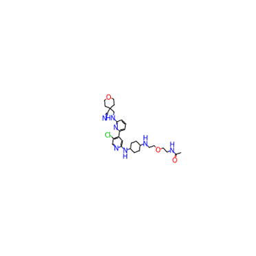 CC(=O)NCCOCCNC1CCC(Nc2cc(-c3cccc(NCC4(C#N)CCOCC4)n3)c(Cl)cn2)CC1